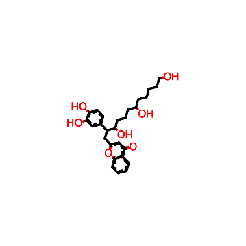 O=c1cc(CC(c2ccc(O)c(O)c2)C(O)CCCC(O)CCCCCO)oc2ccccc12